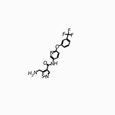 NCc1sncc1C(=O)Nc1ccc(Oc2cccc(C(F)(F)F)c2)nc1